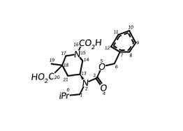 CC(C)CN(C(=O)OCc1ccccc1)[C@@H]1CN(C(=O)O)CC(C)(C(=O)O)C1